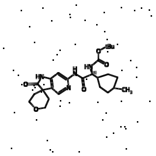 CC1CCC([C@H](NC(=O)OC(C)(C)C)C(=O)Nc2cc3c(cn2)C2(CCOCC2)C(=O)N3)CC1